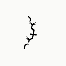 CCOC(=O)C=CC(C)(C)CC(=O)OCC